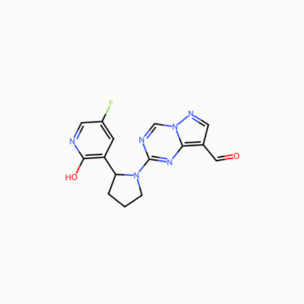 O=Cc1cnn2cnc(N3CCCC3c3cc(F)cnc3O)nc12